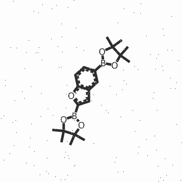 CC1(C)OB(c2ccc3oc(B4OC(C)(C)C(C)(C)O4)cc3c2)OC1(C)C